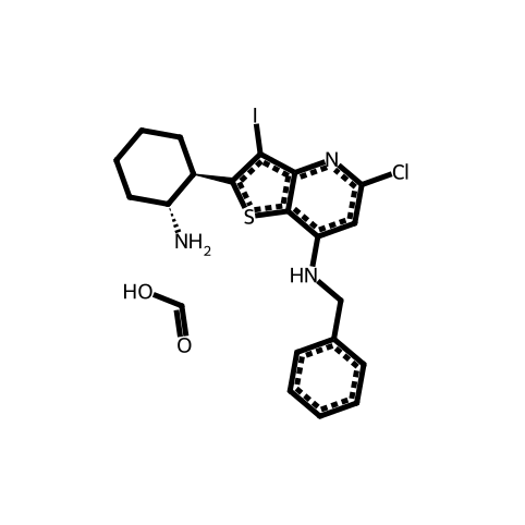 N[C@@H]1CCCC[C@H]1c1sc2c(NCc3ccccc3)cc(Cl)nc2c1I.O=CO